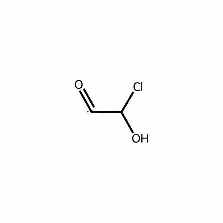 O=[C]C(O)Cl